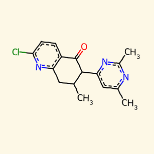 Cc1cc(C2C(=O)c3ccc(Cl)nc3CC2C)nc(C)n1